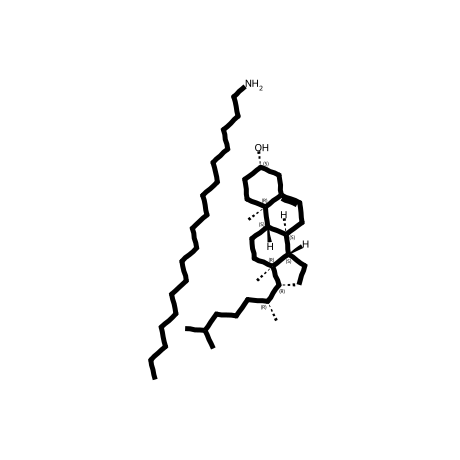 CC(C)CCC[C@@H](C)[C@H]1CC[C@H]2[C@@H]3CC=C4C[C@@H](O)CC[C@]4(C)[C@H]3CC[C@]12C.CCCCCCCCCCCCCCCCCCN